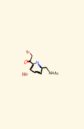 Br.CC(=O)NCc1cccc(C(=O)CBr)n1